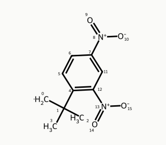 [CH2]C(C)(C)c1ccc([N+](=O)[O-])cc1[N+](=O)[O-]